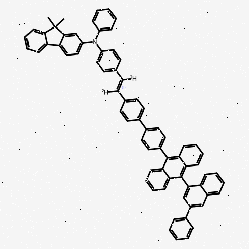 [2H]/C(=C(/[2H])c1ccc(N(c2ccccc2)c2ccc3c(c2)C(C)(C)c2ccccc2-3)cc1)c1ccc(-c2ccc(-c3c4ccccc4c(-c4cc(-c5ccccc5)cc5ccccc45)c4ccccc34)cc2)cc1